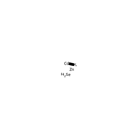 [S]=[Cd].[SeH2].[Zn]